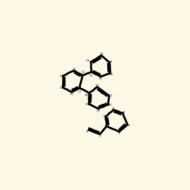 C=Cc1ccccc1.c1ccc(-c2ccccc2-c2ccccc2)cc1